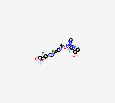 CCc1cccc2cc(O)cc(-c3ncc4c(N5CC6CCC(C5)N6)nc(OCC5(CN6CCC7(CC6)CC(F)(CN6CCN(c8cc(F)c(C9CCC(=O)NC9=O)c(F)c8)CC6)C7)CC5)nc4c3F)c12